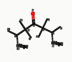 CCCCCCCC(C)C(C)(C)C(=O)C(C)(C)C(C)CCCCCCC